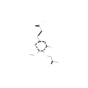 COc1cc(/C=C/C(=O)O)cc(Br)c1OCC(C)=O